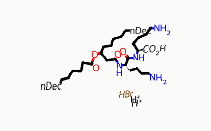 Br.CCCCCCCCCCCCCCCC(=O)OC(CCCCCCCCCCCCCCC)CC(=O)N[C@@H](CCCCN)C(=O)N[C@@H](CCCCN)C(=O)O.[H+].[H+]